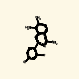 Cc1ccc2c(N)nc(-c3ccc(Cl)cc3F)cc2c1N